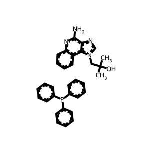 CC(C)(O)Cn1cnc2c(N)nc3ccccc3c21.c1ccc(P(c2ccccc2)c2ccccc2)cc1